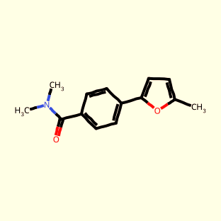 Cc1ccc(-c2ccc(C(=O)N(C)C)cc2)o1